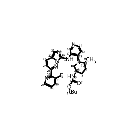 C[C@H]1CC[C@@H](NC(=O)OC(C)(C)C)CN1c1ccncc1Nc1ncc2ccc(-c3ncccc3F)nn12